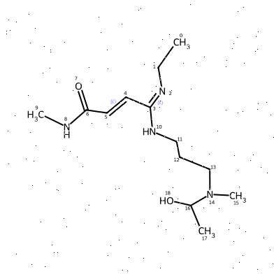 CC/N=C(\C=C\C(=O)NC)NCCCN(C)C(C)O